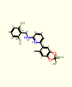 Cc1cc2c(cc1-c1cccc(NCc3c(F)cccc3F)n1)OC(F)(F)O2